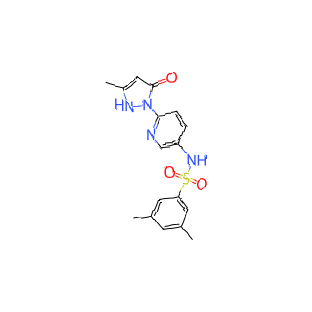 Cc1cc(C)cc(S(=O)(=O)Nc2ccc(-n3[nH]c(C)cc3=O)nc2)c1